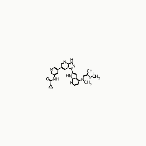 C=N/C(C)=C\N(C)c1ccnc2[nH]c(-c3n[nH]c4ncc(-c5cncc(NC(=O)C6CC6)c5)cc34)cc12